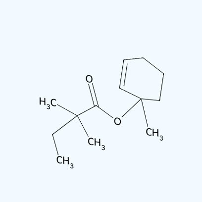 CCC(C)(C)C(=O)OC1(C)C=CCCC1